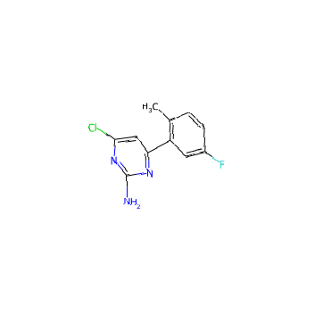 Cc1ccc(F)cc1-c1cc(Cl)nc(N)n1